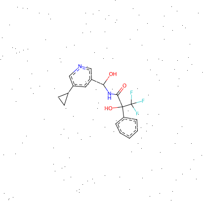 O=C(NC(O)c1cncc(C2CC2)c1)C(O)(c1ccccc1)C(F)(F)F